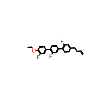 C=CCCc1ccc(-c2ccc(-c3ccc(OCC)c(F)c3)c(F)c2)c(F)c1